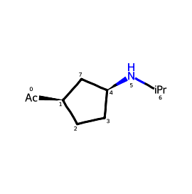 CC(=O)[C@@H]1CC[C@H](NC(C)C)C1